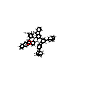 CC(C)(C)c1ccc(N2c3c4c(cc5c3C(C)(C)c3ccccc3-5)-c3cc(C56CC7CC(CC(C7)C5)C6)cc5c6cc(C78CC9CC(CC(C9)C7)C8)ccc6n(c35)B4c3ccc4c(oc5cc6ccccc6cc54)c32)c(-c2ccccc2)c1